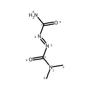 CN(C)C(=O)N=NC(N)=O